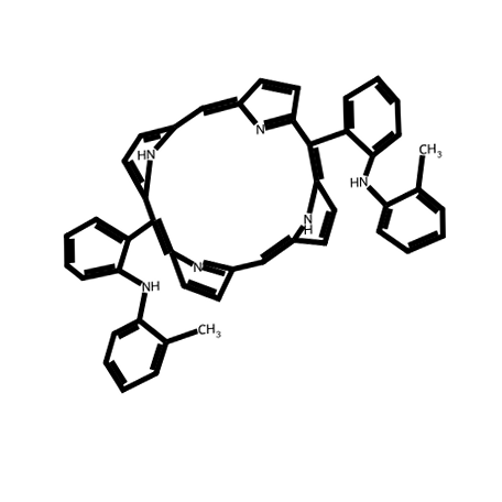 Cc1ccccc1Nc1ccccc1-c1c2nc(cc3ccc([nH]3)c(-c3ccccc3Nc3ccccc3C)c3nc(cc4ccc1[nH]4)C=C3)C=C2